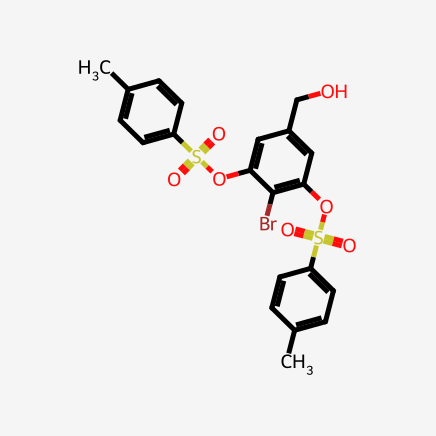 Cc1ccc(S(=O)(=O)Oc2cc(CO)cc(OS(=O)(=O)c3ccc(C)cc3)c2Br)cc1